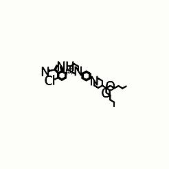 CCCCOC(OCCCC)C1CCN(c2ccc(N3CCC[C@@H](c4ccc(Cl)c5c(C#N)c[nH]c45)C3)cc2)CC1